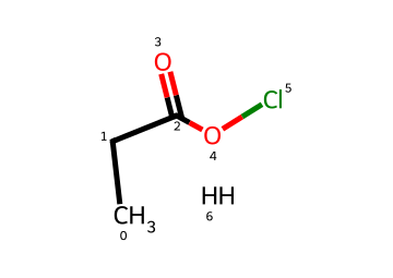 CCC(=O)OCl.[HH]